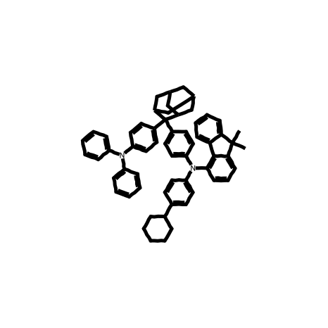 CC1(C)c2ccccc2-c2c(N(c3ccc(C4CCCCC4)cc3)c3ccc(C4(c5ccc(N(c6ccccc6)c6ccccc6)cc5)C5CC6CC(C5)CC4C6)cc3)cccc21